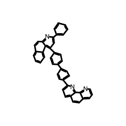 c1ccc(-c2cc(-c3ccc(-c4ccc(-c5ccc6ccc7cccnc7c6n5)cc4)cc3)c3c(ccc4ccccc43)n2)cc1